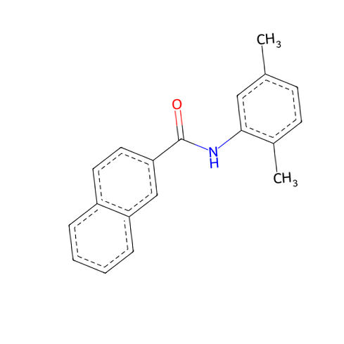 Cc1ccc(C)c(NC(=O)c2ccc3ccccc3c2)c1